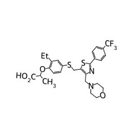 CCc1cc(SCc2sc(-c3ccc(C(F)(F)F)cc3)nc2CN2CCOCC2)ccc1OC(C)C(=O)O